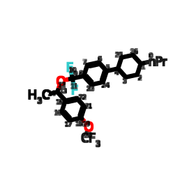 CCCC1CCC(c2ccc(C(F)(F)OC(C)c3ccc(OC(F)(F)F)cc3)cc2)CC1